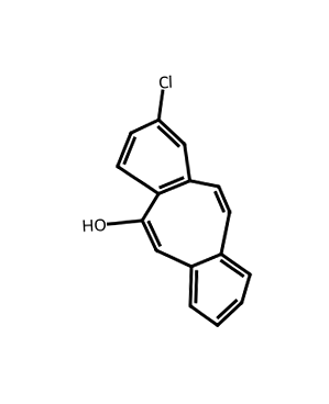 O/C1=C/c2ccccc2/C=C\c2cc(Cl)ccc21